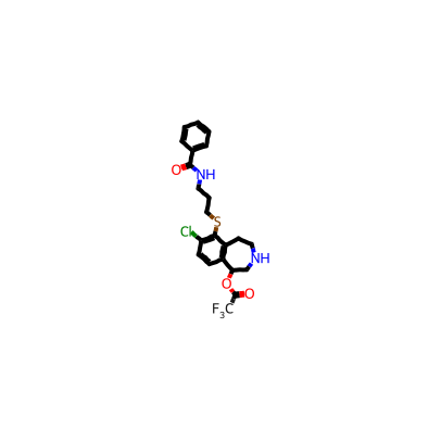 O=C(NCCCSc1c(Cl)ccc2c1CCNCC2OC(=O)C(F)(F)F)c1ccccc1